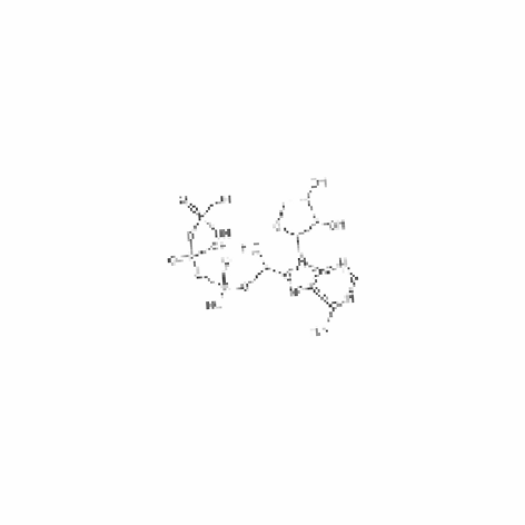 CC(OP(=O)(O)OP(=O)(O)OP(=O)(O)O)c1nc2c(N)ncnc2n1C1OCC(O)C1O